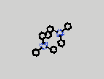 c1ccc(-c2nc(-c3ccccc3)nc(-c3cccc4c3ccc3c(-c5nc(-c6ccccc6)nc(-c6ccccc6)n5)cccc34)n2)cc1